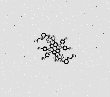 CC(C)c1ccc(Oc2cc3c4c(cc(Oc5ccc(C(C)C)cc5)c5c6c(Oc7ccc(C(C)C)cc7)cc7c8c(cc(Oc9ccc(C(C)C)cc9)c(c2c45)c86)C(=O)N(C(C(=O)NC2CCCC(NCC4CO4)C2)C(C)C)C7=O)C(=O)N(C(C(=O)NC2CCCC(NCC4CO4)C2)C(C)C)C3=O)cc1